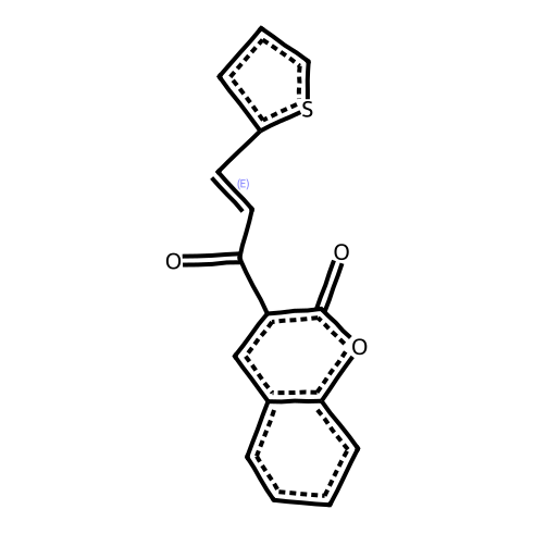 O=C(/C=C/c1cccs1)c1cc2ccccc2oc1=O